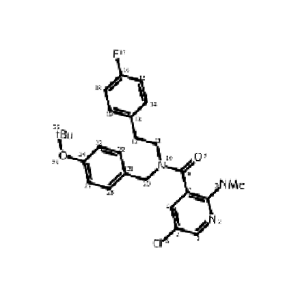 CNc1ncc(Cl)cc1C(=O)N(CCc1ccc(F)cc1)Cc1ccc(OC(C)(C)C)cc1